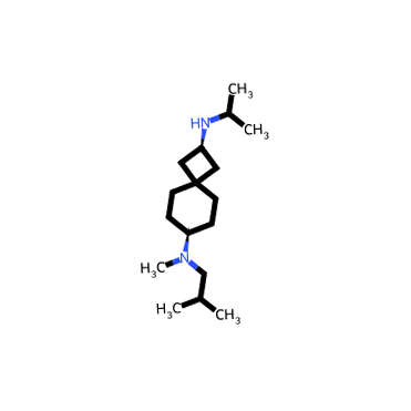 CC(C)CN(C)[C@H]1CCC2(CC1)C[C@H](NC(C)C)C2